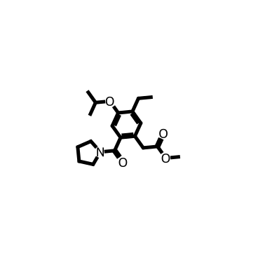 CCc1cc(CC(=O)OC)c(C(=O)N2CCCC2)cc1OC(C)C